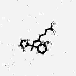 CC(C=C(CCCC(=O)O)ON)(c1ccccc1)c1ncc[nH]1